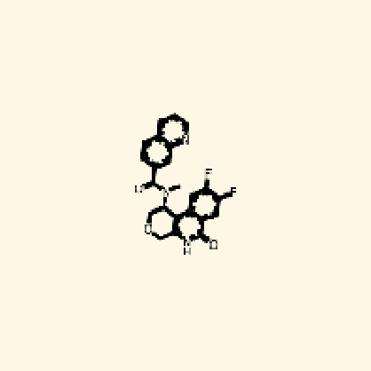 CN(C(=O)c1ccc2cccnc2c1)[C@@H]1COCc2[nH]c(=O)c3cc(F)c(F)cc3c21